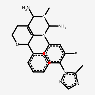 Cc1ncnn1-c1ccc(N2C3=C(CCOC3c3ccccc3)C(N)N(C)C2N)cc1F